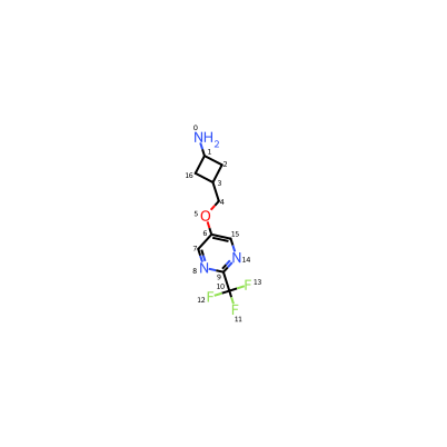 NC1CC(COc2cnc(C(F)(F)F)nc2)C1